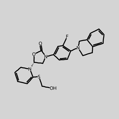 O=C1O[C@@H](N2CC=CC=C2SCO)CN1c1ccc(N2CCc3ccccc3C2)c(F)c1